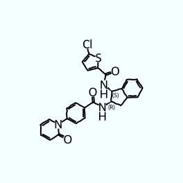 O=C(N[C@@H]1Cc2ccccc2[C@@H]1NC(=O)c1ccc(Cl)s1)c1ccc(-n2ccccc2=O)cc1